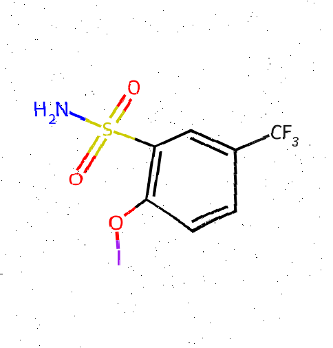 NS(=O)(=O)c1cc(C(F)(F)F)ccc1OI